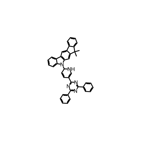 CC1(C)c2ccccc2-c2cc3c4ccccc4n(C4C=CC(c5nc(-c6ccccc6)nc(-c6ccccc6)n5)=CN4)c3cc21